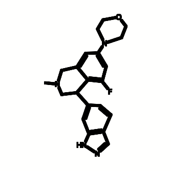 CN1Cc2cc(N3CCOCC3)cc(F)c2C(c2ccc3cn[nH]c3c2)C1